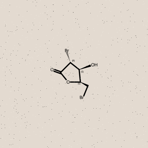 O=C1O[C@H](CBr)[C@H](O)[C@H]1Br